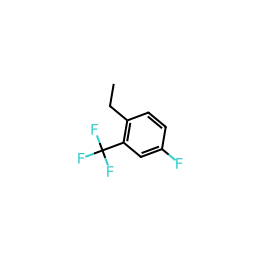 CCc1ccc(F)cc1C(F)(F)F